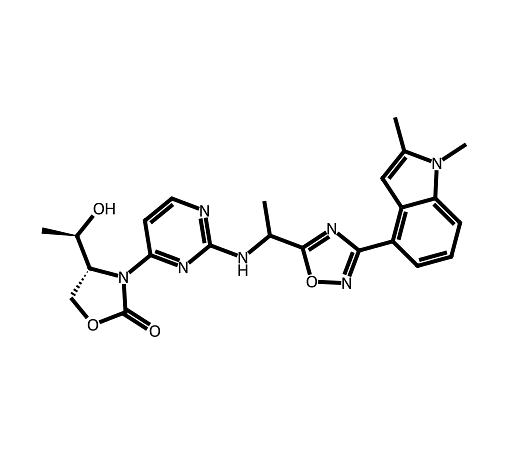 Cc1cc2c(-c3noc(C(C)Nc4nccc(N5C(=O)OC[C@@H]5[C@@H](C)O)n4)n3)cccc2n1C